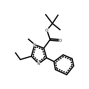 CCc1nc(-c2ccccc2)c(C(=O)OC(C)(C)C)n1C